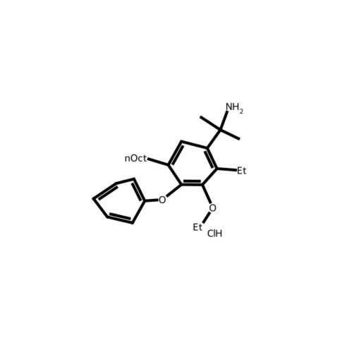 CCCCCCCCc1cc(C(C)(C)N)c(CC)c(OCC)c1Oc1ccccc1.Cl